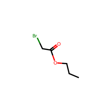 CCCOC(=O)CBr